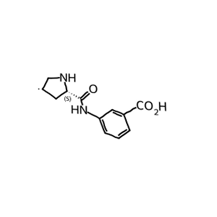 O=C(O)c1cccc(NC(=O)[C@@H]2C[CH]CN2)c1